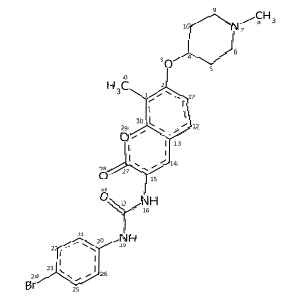 Cc1c(OC2CCN(C)CC2)ccc2cc(NC(=O)Nc3ccc(Br)cc3)c(=O)oc12